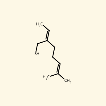 CC=C(CS)CCC=C(C)C